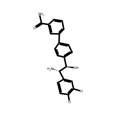 NC(=O)c1cccc(-c2ccc([C@@H](O)[C@@H](N)c3ccc(Cl)c(Cl)c3)cc2)c1